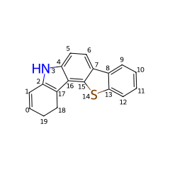 C1=Cc2[nH]c3ccc4c5ccccc5sc4c3c2CC1